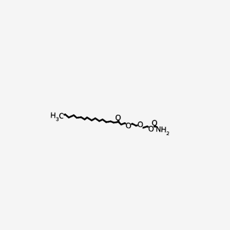 CCCCCCCCCCCCCCCC(=O)CCOCCOCCOC(N)=O